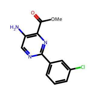 COC(=O)c1nc(-c2cccc(Cl)c2)ncc1N